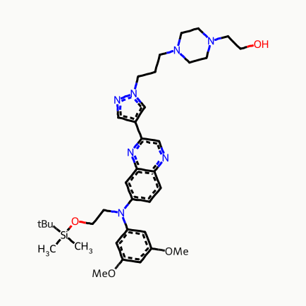 COc1cc(OC)cc(N(CCO[Si](C)(C)C(C)(C)C)c2ccc3ncc(-c4cnn(CCCN5CCN(CCO)CC5)c4)nc3c2)c1